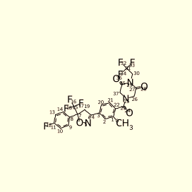 Cc1cc(C2=NOC(c3ccc(F)cc3)(C(F)(F)F)C2)ccc1C(=O)N1CC(=O)N(CC(F)(F)F)C(=O)C1